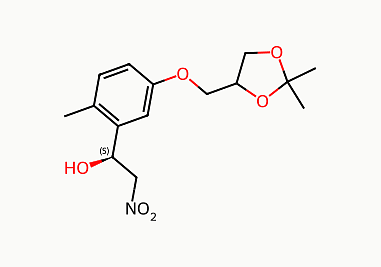 Cc1ccc(OCC2COC(C)(C)O2)cc1[C@H](O)C[N+](=O)[O-]